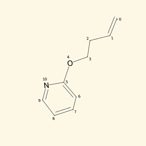 [CH]=CCCOc1ccccn1